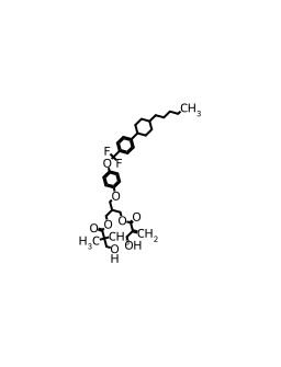 C=C(CO)C(=O)OCC(COC(=O)C(C)(C)CO)COc1ccc(OC(F)(F)c2ccc(C3CCC(CCCCC)CC3)cc2)cc1